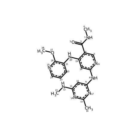 CNC(=O)c1cnc(Nc2cc(NC)nc(C)n2)cc1Nc1cccnc1OC